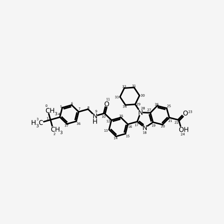 CC(C)(C)c1ccc(CNC(=O)c2cccc(-c3nc4cc(C(=O)O)ccc4n3C3CCCCC3)c2)cc1